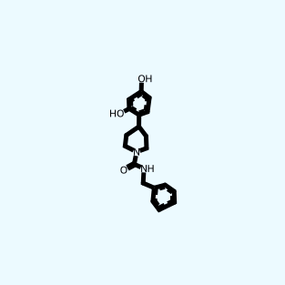 O=C(NCc1ccccc1)N1CCC(c2ccc(O)cc2O)CC1